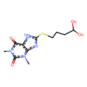 Cn1c(=O)c2[nH]c(SCCCC(O)O)nc2n(C)c1=O